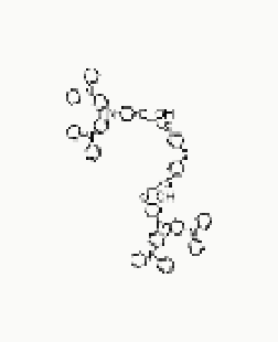 OC(COc1ccc(-n2c3ccc(N(c4ccccc4)c4ccccc4)cc3c3cc(N(c4ccccc4)c4ccccc4)ccc32)cc1)CSc1ccc(Sc2ccc(SCC(O)COc3ccc(-n4c5ccc(N(c6ccccc6)c6ccccc6)cc5c5cc(N(c6ccccc6)c6ccccc6)ccc54)cc3)cc2)cc1